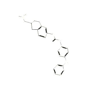 CN(C)CC1CCc2cc(NC(=O)Nc3ccc(Nc4ccccc4)cc3)ccc2C1